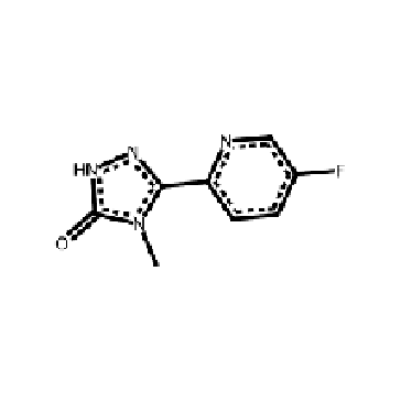 Cn1c(-c2ccc(F)cn2)n[nH]c1=O